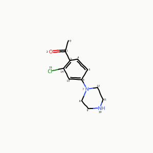 CC(=O)c1ccc(N2CCNCC2)cc1Cl